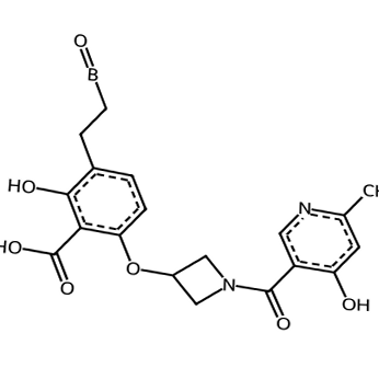 Cc1cc(O)c(C(=O)N2CC(Oc3ccc(CCB=O)c(O)c3C(=O)O)C2)cn1